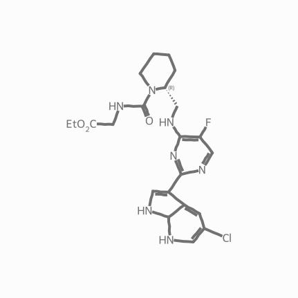 CCOC(=O)CNC(=O)N1CCCC[C@@H]1CNc1nc(C2=CNC3NC=C(Cl)C=C23)ncc1F